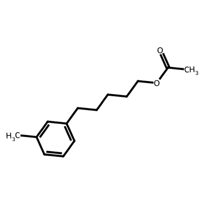 CC(=O)OCCCCCc1cccc(C)c1